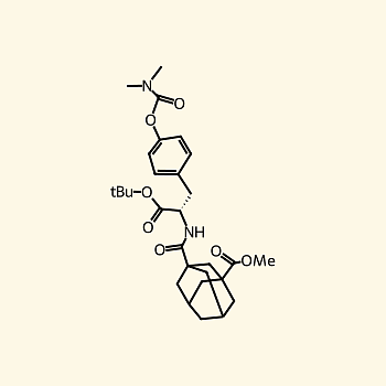 COC(=O)C12CC3CC(CC(C(=O)N[C@@H](Cc4ccc(OC(=O)N(C)C)cc4)C(=O)OC(C)(C)C)(C3)C1)C2